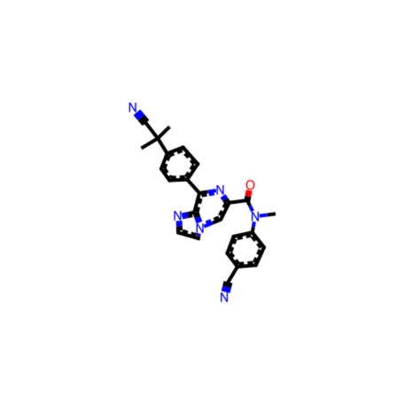 CN(C(=O)c1cn2ccnc2c(-c2ccc(C(C)(C)C#N)cc2)n1)c1ccc(C#N)cc1